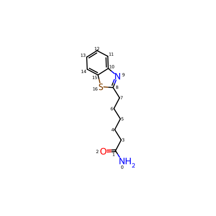 NC(=O)CCCCCc1nc2ccccc2s1